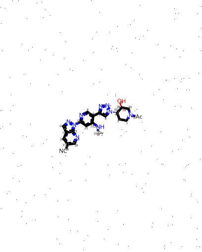 CC(=O)N1CC[C@H](n2cc(-c3cnc(-n4ncc5cc(C#N)cnc54)cc3NC(C)C)nn2)[C@@H](O)C1